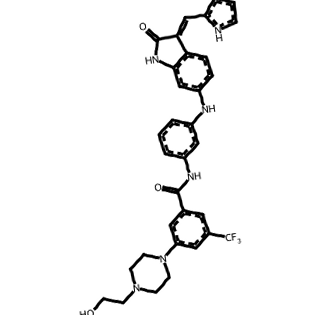 O=C1Nc2cc(Nc3cccc(NC(=O)c4cc(N5CCN(CCO)CC5)cc(C(F)(F)F)c4)c3)ccc2C1=Cc1ccc[nH]1